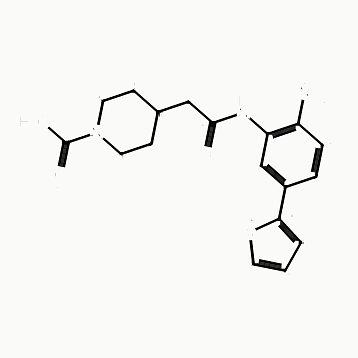 CC(=O)N1CCC(CC(=O)Nc2cc(-c3cccs3)ccc2N)CC1